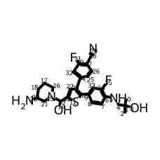 CC(C)(O)CNc1ccc(-c2sc(C(O)N3CCCC(N)C3)cc2-c2ccc(C#N)c(F)c2)cc1F